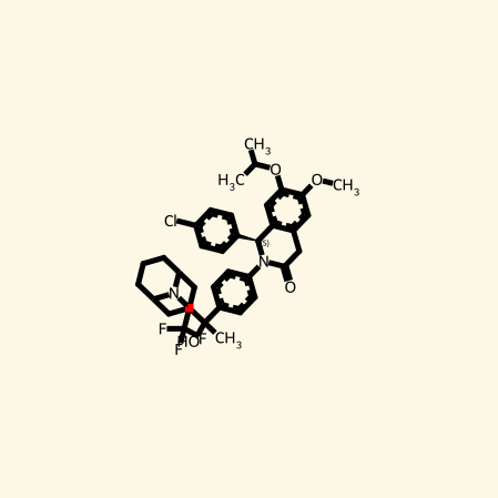 COc1cc2c(cc1OC(C)C)[C@H](c1ccc(Cl)cc1)N(c1ccc(C(C)(O)C3CC4CCCC(C3)N4CC(F)(F)F)cc1)C(=O)C2